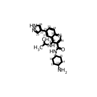 CC(C)Nc1c(C(=O)N[C@H]2CC[C@H](N)CC2)cnc2ccc(-c3cn[nH]c3)cc12